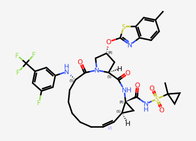 Cc1ccc2nc(O[C@@H]3C[C@H]4C(=O)N[C@]5(C(=O)NS(=O)(=O)C6(C)CC6)C[C@H]5/C=C\CCCCC[C@H](Nc5cc(F)cc(C(F)(F)F)c5)C(=O)N4C3)sc2c1